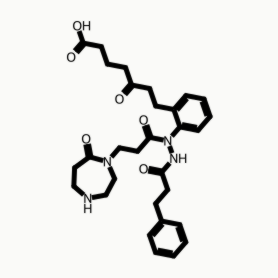 O=C(O)CCCC(=O)CCc1ccccc1N(NC(=O)CCc1ccccc1)C(=O)CCN1CCNCCC1=O